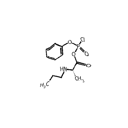 CCCN[C@@H](C)C(=O)OP(=O)(Cl)Oc1ccccc1